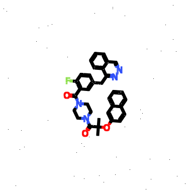 CC(C)(Oc1ccc2ccccc2c1)C(=O)N1CCN(C(=O)c2cc(Cc3nncc4ccccc34)ccc2F)CC1